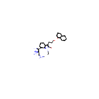 CN1CCCCn2c(C(=O)O)c(CCCOc3cccc4ccccc34)c3cccc(c32)-c2cnn(C)c2C1